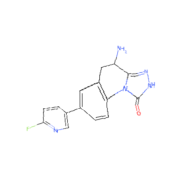 NC1Cc2cc(-c3ccc(F)nc3)ccc2-n2c1n[nH]c2=O